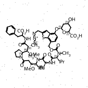 CCC(C)[C@@H]([C@@H](CC(=O)N1CCC[C@H]1[C@H](OC)[C@@H](C)C(=O)NC(Cc1ccccc1)C(=O)O)OC)N(C)C(=O)[C@@H](NC(=O)[C@H](C(C)C)N(C)C(=O)OCc1ccc(O[C@H]2C[C@@H](O)C[C@@H](C(=O)O)O2)c2cc(CN=[N+]=[N-])sc12)C(C)C